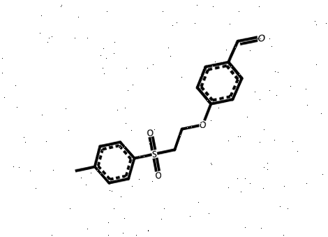 Cc1ccc(S(=O)(=O)CCOc2ccc(C=O)cc2)cc1